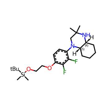 CC1(C)CN(c2ccc(OCCO[Si](C)(C)C(C)(C)C)c(F)c2F)[C@H]2CCCC[C@H]2N1